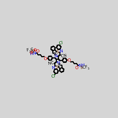 N#C/C(c1nc2cc(Cl)ccc2s1)=c1\c2c(-c3ccc(OCCCCC(=O)NS(=O)(=O)C(F)(F)F)cc3)n(B3Cc4ccccc4C3)/c(=C(/C#N)c3nc4cc(Cl)ccc4s3)c2c(-c2ccc(OCCCCC(=O)NSC(F)(F)F)cc2)n1B1Cc2ccccc2C1